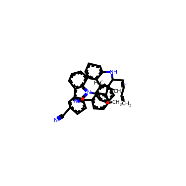 C=C/C=C\C(Nc1ccccc1-c1ccccc1-n1c2ccccc2c2cc(C#N)ccc21)C(C)(C)c1cc(C#N)ccc1C